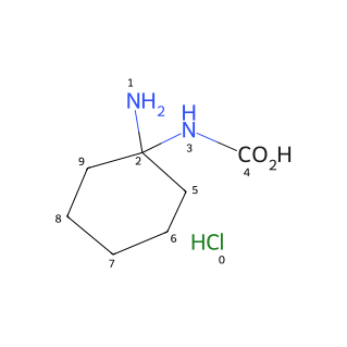 Cl.NC1(NC(=O)O)CCCCC1